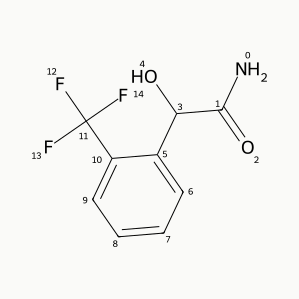 NC(=O)C(O)c1ccccc1C(F)(F)F